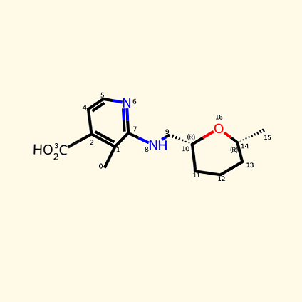 Cc1c(C(=O)O)ccnc1NC[C@H]1CCC[C@@H](C)O1